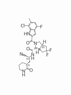 Cc1cc(F)c2cc(C(=O)N3C[C@@H]4CC(F)(F)C[C@@H]4[C@@H]3C(=O)N[C@H](C#N)C[C@@H]3CCCNC3=O)[nH]c2c1Cl